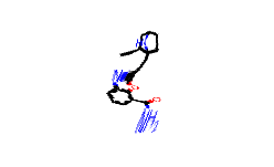 CC1CC2CCC1(c1nc3cccc(C(N)=O)c3o1)N2